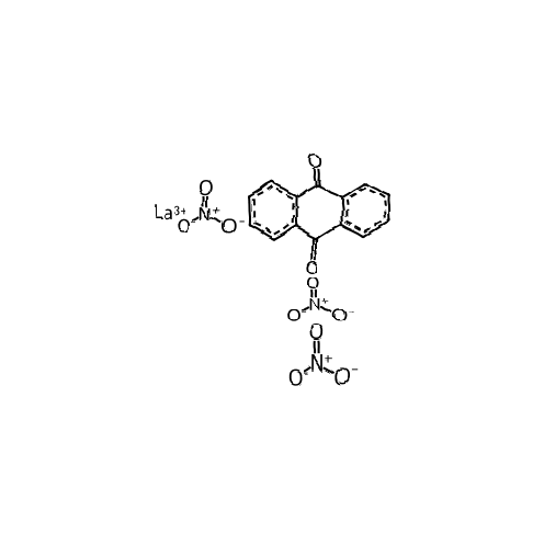 O=C1c2ccccc2C(=O)c2ccccc21.O=[N+]([O-])[O-].O=[N+]([O-])[O-].O=[N+]([O-])[O-].[La+3]